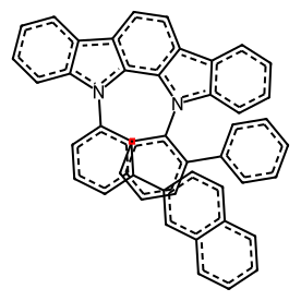 c1ccc(-c2ccccc2-n2c3ccccc3c3ccc4c5ccccc5n(-c5cccc(-c6ccc7ccccc7c6)c5)c4c32)cc1